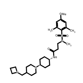 COc1cc(C)c(S(=O)(=O)N(C)CCC(=O)N[C@H]2CC[C@H](N3CCC(CN4CCC4)CC3)CC2)c(C)c1